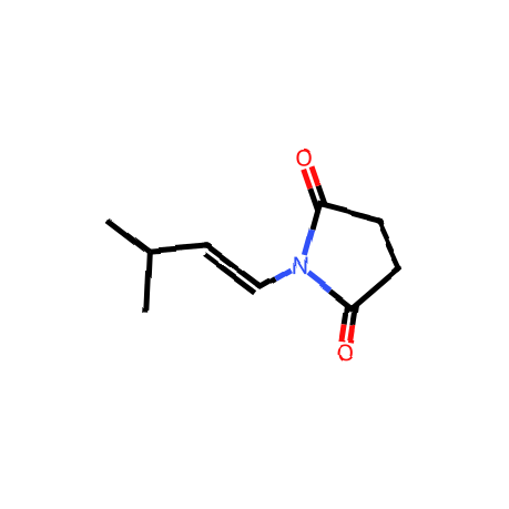 CC(C)/C=C/N1C(=O)CCC1=O